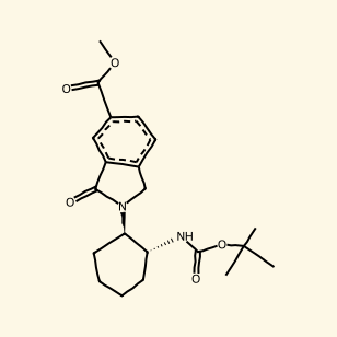 COC(=O)c1ccc2c(c1)C(=O)N([C@@H]1CCCC[C@H]1NC(=O)OC(C)(C)C)C2